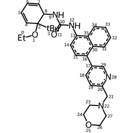 CCOC1(C(C)(C)C)C=CC=CC1NC(=O)Nc1ccc(-c2ccc(CN3CCOCC3)nc2)c2ccccc12